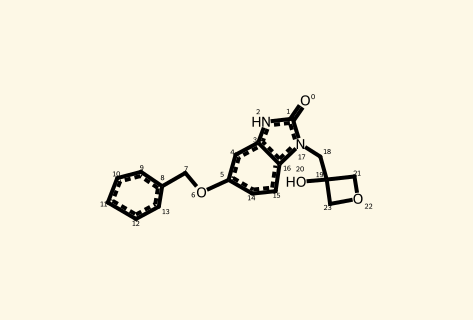 O=c1[nH]c2cc(OCc3ccccc3)ccc2n1CC1(O)COC1